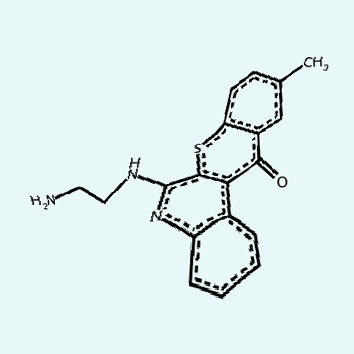 Cc1ccc2sc3c(NCCN)nc4ccccc4c3c(=O)c2c1